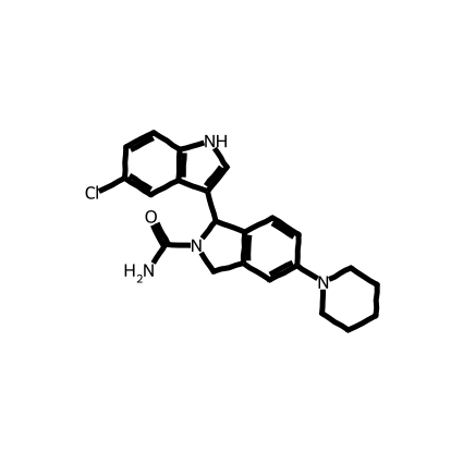 NC(=O)N1Cc2cc(N3CCCCC3)ccc2C1c1c[nH]c2ccc(Cl)cc12